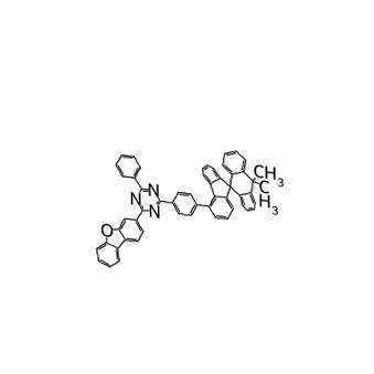 CC1(C)c2ccccc2C2(c3ccccc3-c3c(-c4ccc(-c5nc(-c6ccccc6)nc(-c6ccc7c(c6)oc6ccccc67)n5)cc4)cccc32)c2ccccc21